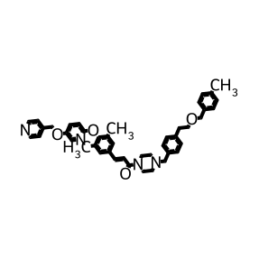 Cc1ccc(COCCc2ccc(CN3CCN(C(=O)C=Cc4cc(C)c(Oc5ccc(OCc6ccncc6)cn5)c(C)c4)CC3)cc2)cc1